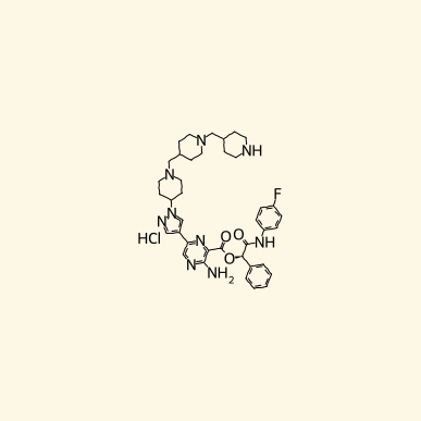 Cl.Nc1ncc(-c2cnn(C3CCN(CC4CCN(CC5CCNCC5)CC4)CC3)c2)nc1C(=O)O[C@@H](C(=O)Nc1ccc(F)cc1)c1ccccc1